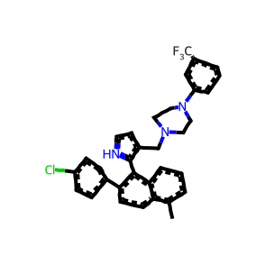 Cc1cccc2c(-c3[nH]ccc3CN3CCN(c4cccc(C(F)(F)F)c4)CC3)c(-c3ccc(Cl)cc3)ccc12